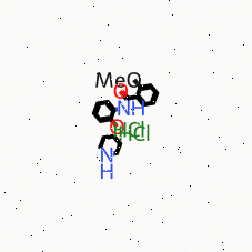 COc1ccccc1C(=O)Nc1ccccc1OC1CCNCC1.Cl.Cl